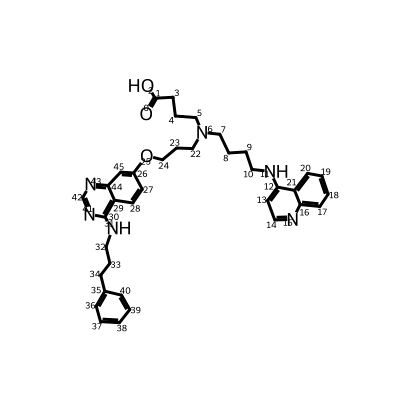 O=C(O)CCCN(CCCCNc1ccnc2ccccc12)CCCOc1ccc2c(NCCCc3ccccc3)ncnc2c1